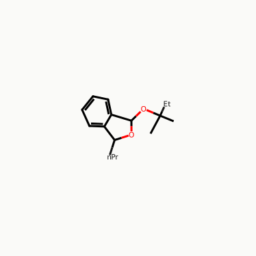 CCCC1OC(OC(C)(C)CC)c2ccccc21